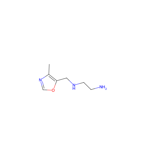 Cc1ncoc1CNCCN